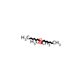 CCCCCCCCOCCCCCCCC.CCOCC